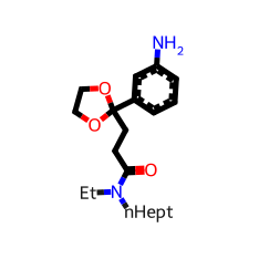 CCCCCCCN(CC)C(=O)CCC1(c2cccc(N)c2)OCCO1